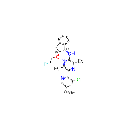 CCc1nc(-c2ncc(OC)cc2Cl)c(CC)nc1N[C@@H]1c2ccccc2C[C@@H]1OCCF